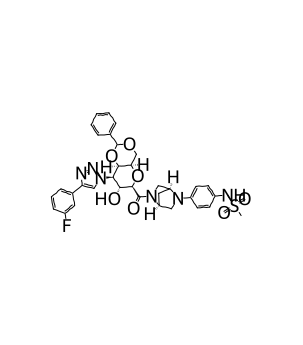 CS(=O)(=O)Nc1ccc(N2C[C@@H]3C[C@H]2CN3C(=O)[C@@H]2O[C@@H]3COC(c4ccccc4)O[C@@H]3[C@H](n3cc(-c4cccc(F)c4)nn3)[C@H]2O)cc1